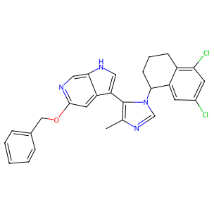 Cc1ncn(C2CCCc3c(Cl)cc(Cl)cc32)c1-c1c[nH]c2cnc(OCc3ccccc3)cc12